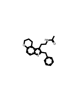 CC(=O)NCCc1c(Cc2ccccc2)sc2ccc3c(c12)CCCO3